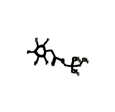 CCC(C)(C)COC(=O)Cc1c(F)c(F)c(F)c(F)c1F